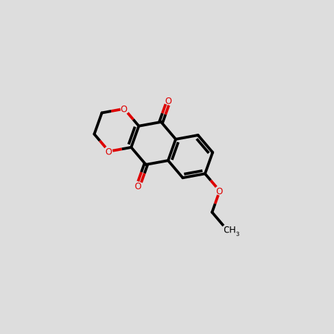 CCOc1ccc2c(c1)C(=O)C1=C(OCCO1)C2=O